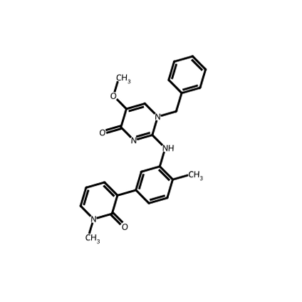 COc1cn(Cc2ccccc2)c(Nc2cc(-c3cccn(C)c3=O)ccc2C)nc1=O